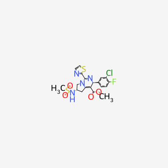 COC(=O)C1=C2C[C@H](NS(C)(=O)=O)CN2C(c2nccs2)=N[C@H]1c1ccc(F)c(Cl)c1